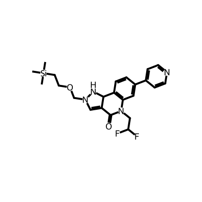 C[Si](C)(C)CCOCN1C=C2C(=O)N(CC(F)F)c3cc(-c4ccncc4)ccc3C2N1